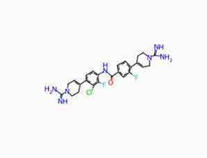 N=C(N)N1CC=C(c2ccc(C(=O)Nc3ccc(C4=CCN(C(=N)N)CC4)c(Cl)c3F)cc2F)CC1